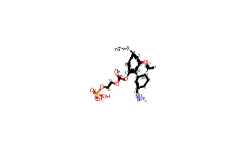 C=C(C)[C@@H]1CCC(C)=C[C@H]1c1c(O)cc(CCCCC)cc1OC(=O)OCCOP(=O)(O)O.N.N